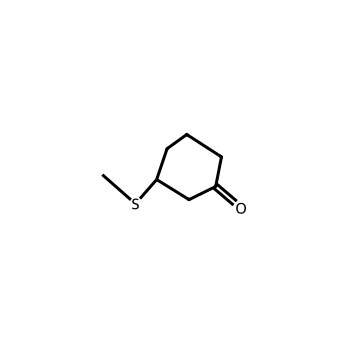 CSC1CCCC(=O)C1